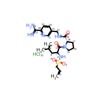 C=CCS(=O)(=O)NC(CC(C)C)C(=O)N1CCC[C@H]1C(=O)NCc1ccc(C(=N)N)nc1.Cl